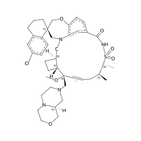 CO[C@@]1(CN2CCN3CCOC[C@@H]3C2)/C=C/C[C@H](C)[C@@H](C)S(=O)(=O)NC(=O)c2ccc3c(c2)N(C[C@@H]2CC[C@H]21)C[C@@]1(CCCc2cc(Cl)ccc21)CO3